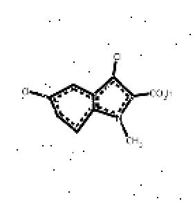 Cn1c(C(=O)O)c(Cl)c2cc(Cl)ccc21